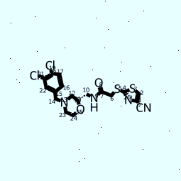 N#Cc1csc(SCC(=O)NC[C@H]2CN(Cc3ccc(Cl)c(Cl)c3)CCO2)n1